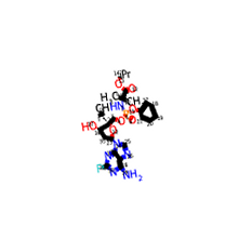 C#C[C@]1(COP(=O)(NC(C)(C)C(=O)OC(C)C)Oc2ccccc2)O[C@@H](n2cnc3c(N)nc(F)nc32)C[C@@H]1O